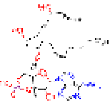 CCCCC[C@H](O)/C=C/[C@H]1[C@H](O)CC(=O)[C@@H]1C/C=C\CCCC(=O)O.Nc1ncnc2c1ncn2[C@@H]1O[C@@H]2COP(=O)(O)O[C@H]2[C@H]1O